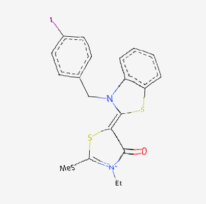 CC[N+]1=C(SC)S/C(=C2/Sc3ccccc3N2Cc2ccc(I)cc2)C1=O